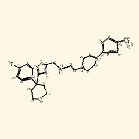 Fc1ccc(C2(c3noc(CNCCN4CCN(c5ccc(C(F)(F)F)cn5)CC4)n3)CCOCC2)cc1